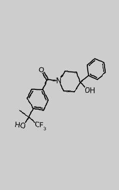 CC(O)(c1ccc(C(=O)N2CCC(O)(c3ccccc3)CC2)cc1)C(F)(F)F